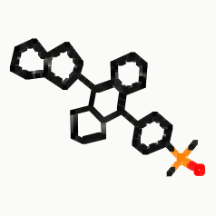 CP(C)(=O)c1ccc(C2=c3ccccc3=C(c3ccc4ccccc4c3)C3C=CC=CC23)cc1